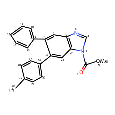 COC(=O)n1cnc2cc(-c3ccccc3)c(-c3ccc(C(C)C)cc3)cc21